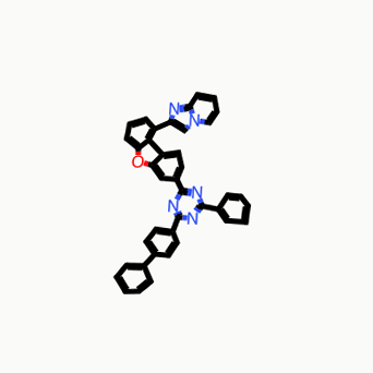 c1ccc(-c2ccc(-c3nc(-c4ccccc4)nc(-c4ccc5c(c4)oc4cccc(-c6cn7ccccc7n6)c45)n3)cc2)cc1